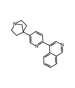 c1ccc2c(-c3ccc(C45CCN(CC4)C5)cn3)cncc2c1